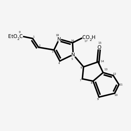 CCOC(=O)/C=C/c1cn(C2Cc3ccccc3C2=O)c(C(=O)O)n1